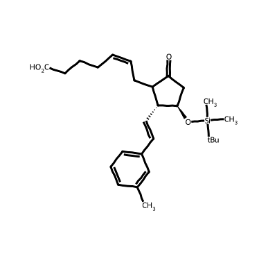 Cc1cccc(/C=C/[C@@H]2C(C/C=C\CCCC(=O)O)C(=O)C[C@H]2O[Si](C)(C)C(C)(C)C)c1